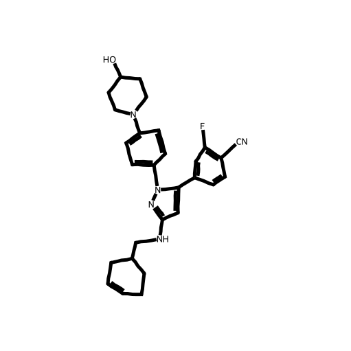 N#Cc1ccc(-c2cc(NCC3CC=CCC3)nn2-c2ccc(N3CCC(O)CC3)cc2)cc1F